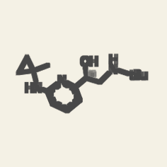 CC(C)(C)NC[C@H](O)c1cccc(NC2(C)CC2)n1